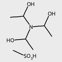 CC(O)N(C(C)O)C(C)O.CS(=O)(=O)O